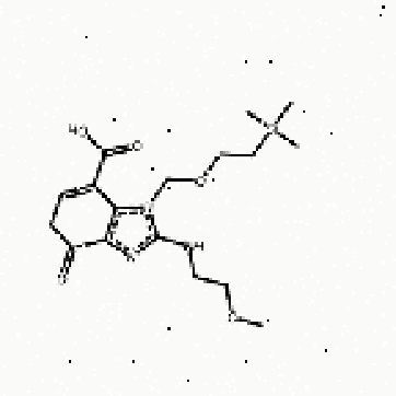 COCCNc1nc2c(n1COCC[Si](C)(C)C)C(C(=O)O)=CCC2=O